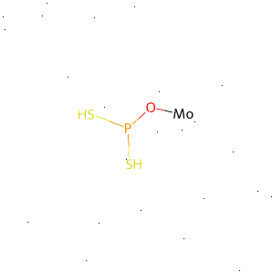 SP(S)[O][Mo]